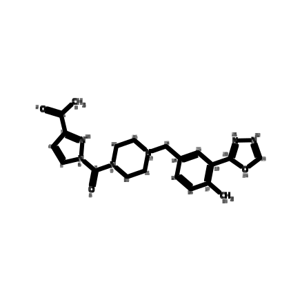 CC(=O)c1ccn(C(=O)N2CCN(Cc3ccc(C)c(-c4nnco4)c3)CC2)n1